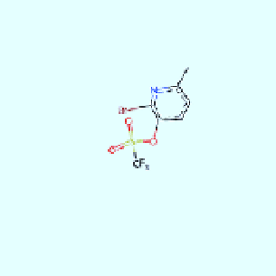 Cc1ccc(OS(=O)(=O)C(F)(F)F)c(Br)n1